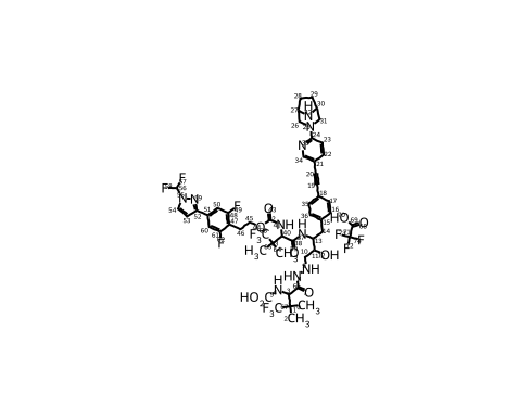 CC(C)(C(NC(=O)O)C(=O)NNCC(O)C(Cc1ccc(C#Cc2ccc(N3CC4CCC(C3)N4)nc2)cc1)NC(=O)C(NC(=O)OCCc1c(F)cc(-c2ccn(C(F)F)n2)cc1F)C(C)(C)C(F)(F)F)C(F)(F)F.O=C(O)C(F)(F)F